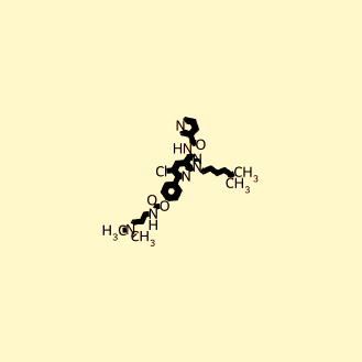 CC(C)CCCCn1nc(NC(=O)c2cccnc2)c2cc(Cl)c(-c3ccc(OC(=O)NCCCN(C)C)cc3)nc21